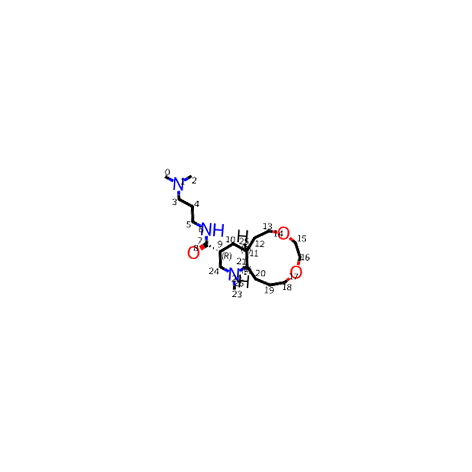 CN(C)CCCNC(=O)[C@@H]1C[C@@H]2CCOCCOCCC[C@H]2N(C)C1